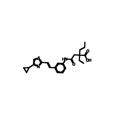 CCCC(CC)(CC(=O)Nc1cccc(C=Cc2nc(C3CC3)cs2)c1)C(=O)O